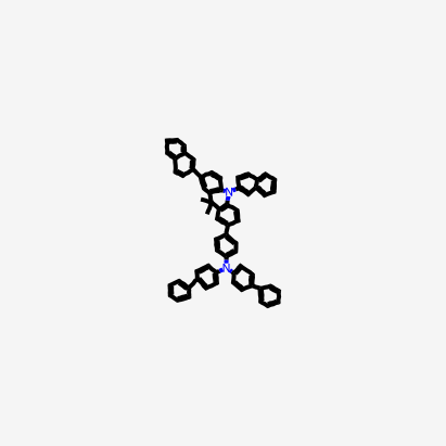 CC1(C)c2cc(-c3ccc(N(c4ccc(-c5ccccc5)cc4)c4ccc(-c5ccccc5)cc4)cc3)ccc2N(c2ccc3ccccc3c2)c2ccc(-c3ccc4ccccc4c3)cc21